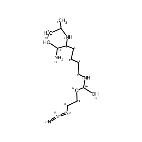 CC(C)NC(CCCCNC(O)OCCN=[N+]=[N-])C(N)O